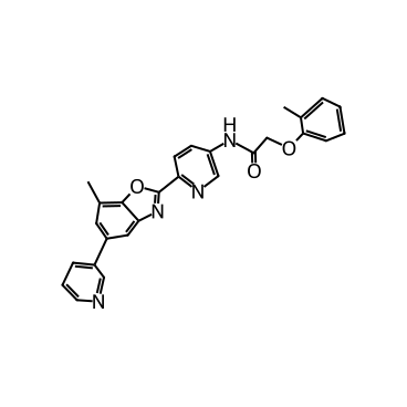 Cc1ccccc1OCC(=O)Nc1ccc(-c2nc3cc(-c4cccnc4)cc(C)c3o2)nc1